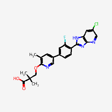 Cc1cc(-c2ccc(-c3nc4ncc(Cl)cc4[nH]3)c(F)c2)cnc1OCC(C)(C)C(=O)O